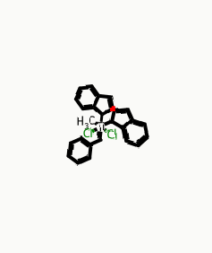 [CH3][Ti]([Cl])([Cl])(=[CH]c1ccccc1)([CH]1C=Cc2ccccc21)[CH]1C=Cc2ccccc21